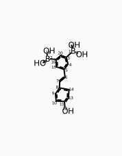 OB(O)c1cc(/C=C/c2ccc(O)cc2)cc(B(O)O)c1